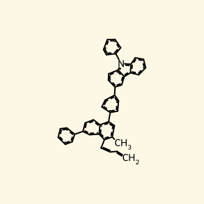 C=C/C=C\c1c(C)cc(-c2ccc(-c3ccc4c(c3)c3ccccc3n4-c3ccccc3)cc2)c2ccc(-c3ccccc3)cc12